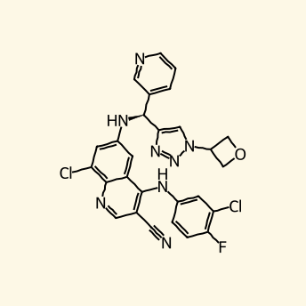 N#Cc1cnc2c(Cl)cc(N[C@@H](c3cccnc3)c3cn(C4COC4)nn3)cc2c1Nc1ccc(F)c(Cl)c1